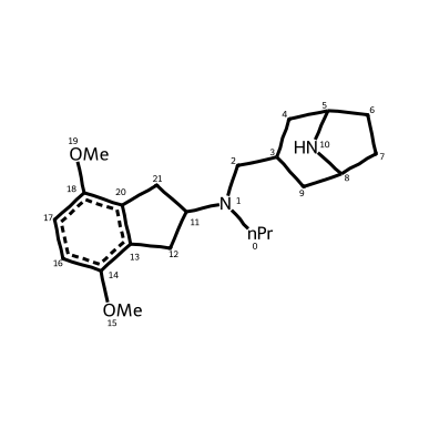 CCCN(CC1CC2CCC(C1)N2)C1Cc2c(OC)ccc(OC)c2C1